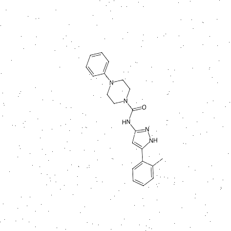 Cc1ccccc1-c1cc(NC(=O)N2CCN(c3ccccc3)CC2)n[nH]1